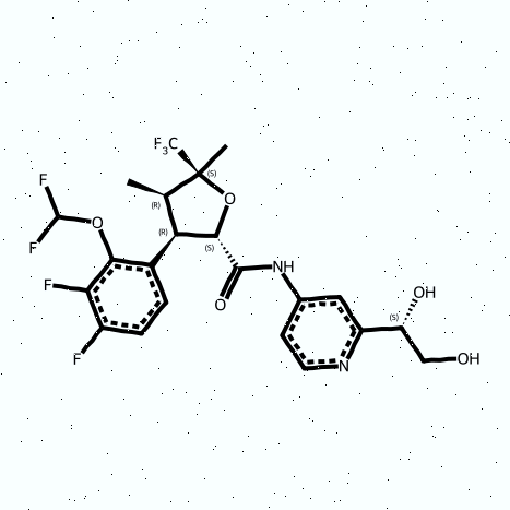 C[C@@H]1[C@H](c2ccc(F)c(F)c2OC(F)F)[C@@H](C(=O)Nc2ccnc([C@H](O)CO)c2)O[C@]1(C)C(F)(F)F